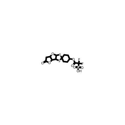 O=C1CC2OC3SC4(CCC(OC(=O)C(F)(F)S(=O)(=O)O)CC4)SC3C2O1